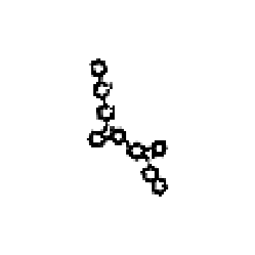 c1ccc(-c2ccc(-c3ccc(-n4c5ccccc5c5cc(-c6ccc7c(c6)c6ccccc6n7-c6ccc7ccccc7c6)ccc54)cn3)cn2)cc1